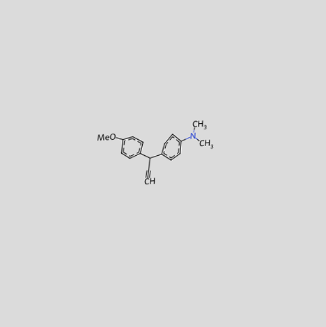 C#CC(c1ccc(OC)cc1)c1ccc(N(C)C)cc1